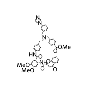 COC(=O)c1ccc(CN(CCc2ccc(NC(=O)c3cc(OC)c(OC)cc3NC(=O)c3cc(=O)c4ccccc4o3)cc2)Cc2cccc(-n3ccnc3)c2)cc1